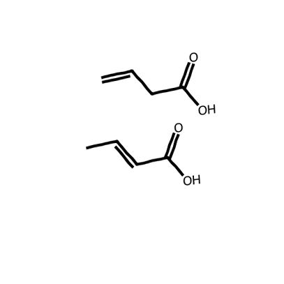 C/C=C/C(=O)O.C=CCC(=O)O